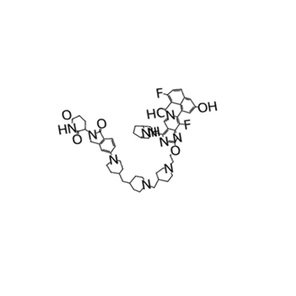 C#Cc1c(F)ccc2cc(O)cc(-c3ncc4c(N5CC6CCC(C5)N6)nc(OCCN5CCC(CN6CCC(CC7CCN(c8ccc9c(c8)CN(C8CCC(=O)NC8=O)C9=O)CC7)CC6)CC5)nc4c3F)c12